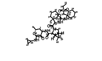 CCCC(NC(=O)[C@@H]1[C@@H]2[C@H](CN1C(=O)[C@@H](NC(=O)NC1(CS(=O)(=O)CC)CCCCC1)C1(C)CCCCC1)C2(C)C)C(=O)C(=O)NC1CC1